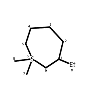 CCC1CCCCS(C)(C)C1